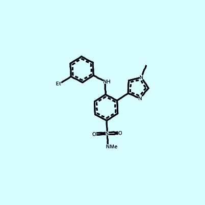 CCc1cccc(Nc2ccc(S(=O)(=O)NC)cc2-c2cn(C)cn2)c1